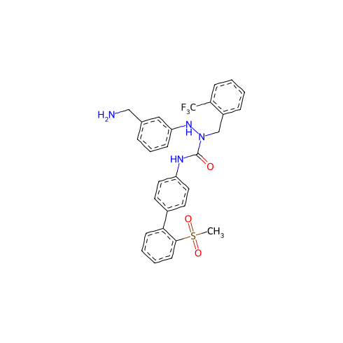 CS(=O)(=O)c1ccccc1-c1ccc(NC(=O)N(Cc2ccccc2C(F)(F)F)Nc2cccc(CN)c2)cc1